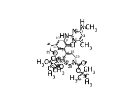 CNc1cc(C)nc(Nc2cc3c(c(C4=CCN(C(=O)OC(C)(C)C)CC(O[Si](C)(C)C(C)(C)C)C4)c2Cl)OCC3)n1